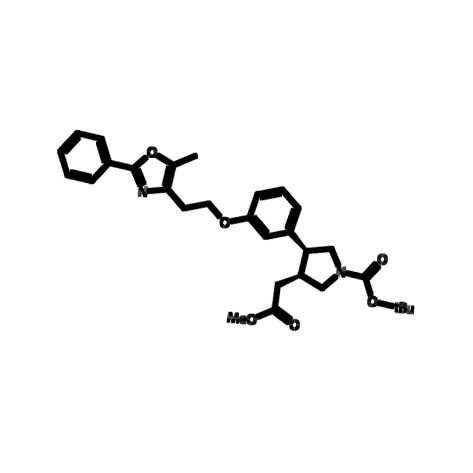 COC(=O)C[C@@H]1CN(C(=O)OC(C)(C)C)C[C@@H]1c1cccc(OCCc2nc(-c3ccccc3)oc2C)c1